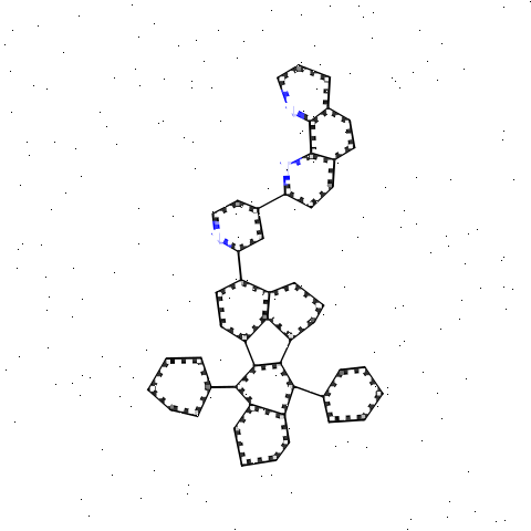 c1ccc(-c2c3c(c(-c4ccccc4)c4ccccc24)-c2ccc(-c4cc(-c5ccc6ccc7cccnc7c6n5)ccn4)c4cccc-3c24)cc1